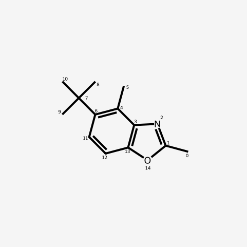 Cc1nc2c(C)c(C(C)(C)C)ccc2o1